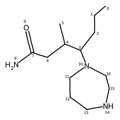 CCCC(C(C)CC(N)=O)N1CCCNCC1